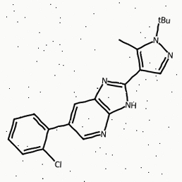 Cc1c(-c2nc3cc(-c4ccccc4Cl)cnc3[nH]2)cnn1C(C)(C)C